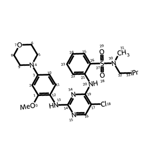 COc1cc(N2CCOCC2)ccc1Nc1ncc(Cl)c(Nc2ccccc2S(=O)(=O)N(C)CC(C)C)n1